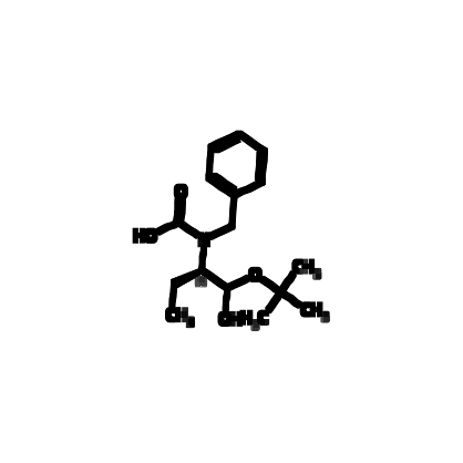 CC[C@H](C(O)OC(C)(C)C)N(Cc1ccccc1)C(=O)O